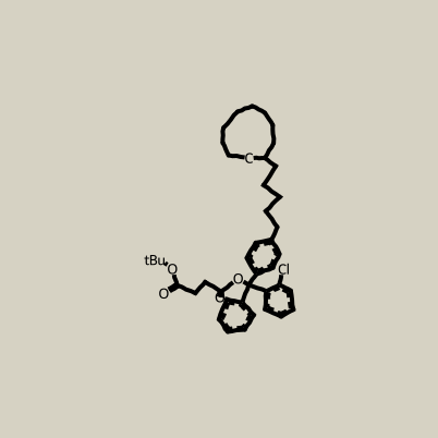 CC(C)(C)OC(=O)CCC(=O)OC(c1ccccc1)(c1ccc(CCCCCC2CCCCCCCCC2)cc1)c1ccccc1Cl